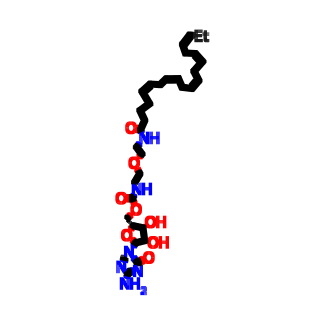 CC/C=C\C/C=C\C/C=C\C/C=C\C/C=C\CCCC(=O)NCCOCCNC(=O)OC[C@H]1OC(n2cnc(N)nc2=O)[C@H](O)[C@@H]1O